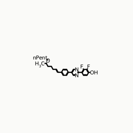 CCCCCOC(C)CCC/C=C/c1ccc(-c2cnc(-c3ccc(O)c(F)c3F)nc2)cc1